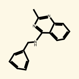 Cc1nc(NCc2ccccc2)c2ccccc2n1